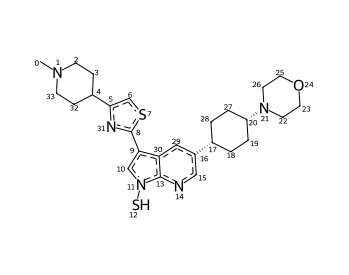 CN1CCC(c2csc(-c3cn(S)c4ncc([C@H]5CC[C@@H](N6CCOCC6)CC5)cc34)n2)CC1